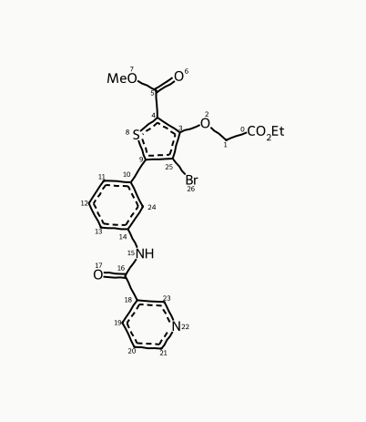 CCOC(=O)COc1c(C(=O)OC)sc(-c2cccc(NC(=O)c3cccnc3)c2)c1Br